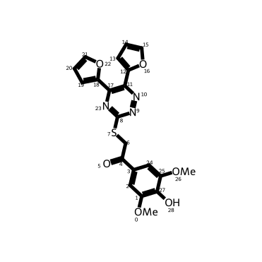 COc1cc(C(=O)CSc2nnc(-c3ccco3)c(-c3ccco3)n2)cc(OC)c1O